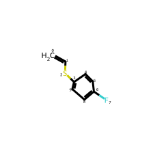 C=CSc1ccc(F)cc1